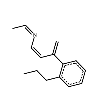 C=C(/C=C\N=C/C)c1ccccc1CCC